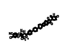 CC1(C)[C@H](NC(=O)c2ccc(N3CCC(N4CCC5(CC4)Cc4cc6c(cc4C5)C(=O)N(C4CCC(=O)NC4=O)C6=O)CC3)cc2)C(C)(C)[C@H]1Oc1ccc(C#N)c(Cl)c1